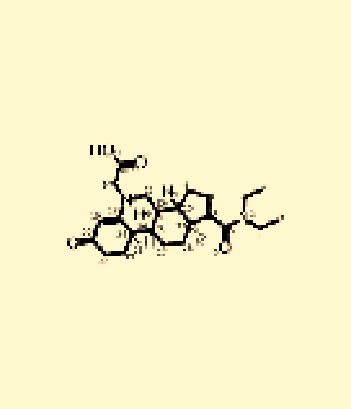 CCN(CC)C(=O)C1CC[C@H]2[C@@H]3CN(CC(=O)O)C4=CC(=O)CC[C@]4(C)[C@@H]3CC[C@]12C